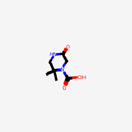 CC1(C)CNC(=O)CN1C(=O)O